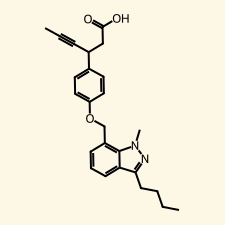 CC#CC(CC(=O)O)c1ccc(OCc2cccc3c(CCCC)nn(C)c23)cc1